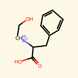 CCO.NC(Cc1ccccc1)C(=O)O